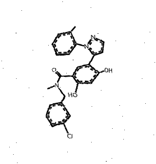 Cc1ccccc1-n1nccc1-c1cc(C(=O)N(C)Cc2cccc(Cl)c2)c(O)cc1O